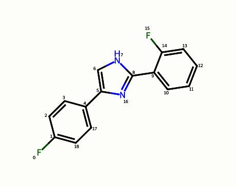 Fc1ccc(-c2c[nH]c(-c3ccccc3F)n2)cc1